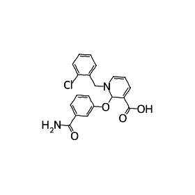 NC(=O)c1cccc(OC2C(C(=O)O)=CC=CN2Cc2ccccc2Cl)c1